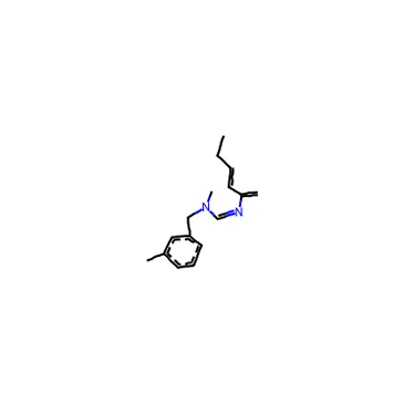 C=C(/C=C/CC)/N=C\N(C)Cc1cccc(C)c1